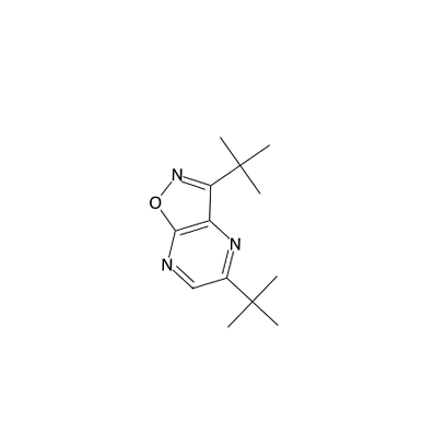 CC(C)(C)c1cnc2onc(C(C)(C)C)c2n1